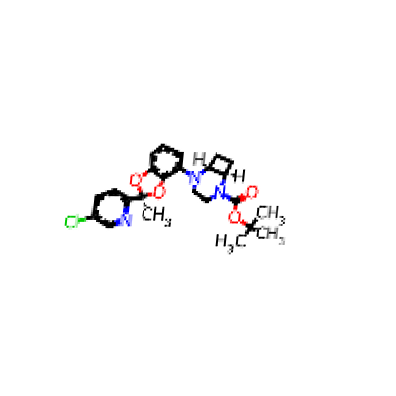 CC(C)(C)OC(=O)N1CCN(c2cccc3c2O[C@@](C)(c2ccc(Cl)cn2)O3)[C@H]2CC[C@H]21